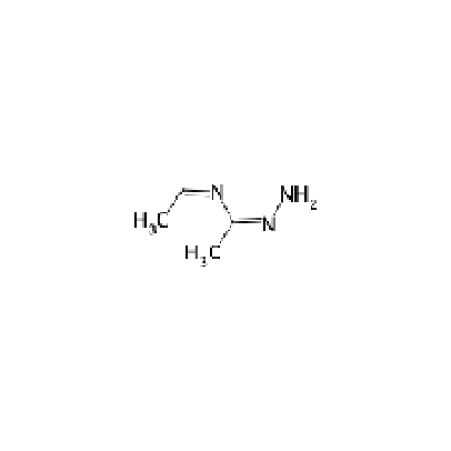 C/C=N\C(C)=N/N